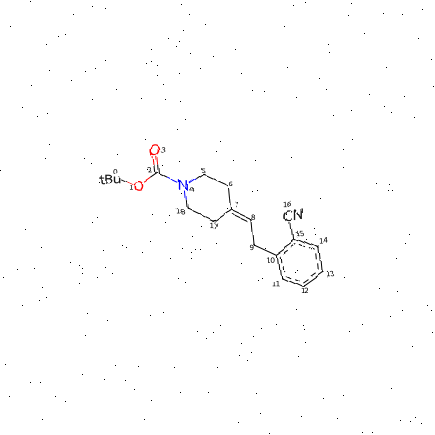 CC(C)(C)OC(=O)N1CCC(=CCc2ccccc2C#N)CC1